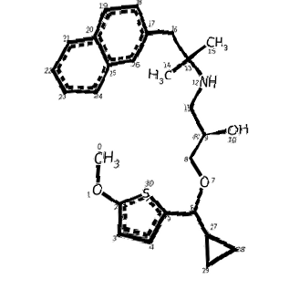 COc1ccc(C(OC[C@H](O)CNC(C)(C)Cc2ccc3ccccc3c2)C2CC2)s1